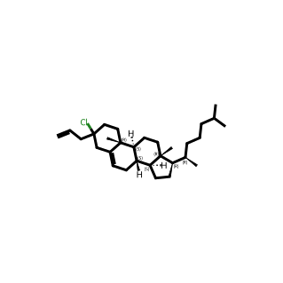 C=CCC1(Cl)CC[C@@]2(C)C(=CC[C@H]3[C@@H]4CC[C@H]([C@H](C)CCCC(C)C)[C@@]4(C)CC[C@@H]32)C1